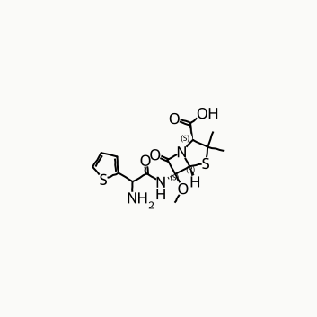 CO[C@@]1(NC(=O)C(N)c2cccs2)C(=O)N2[C@@H](C(=O)O)C(C)(C)S[C@@H]21